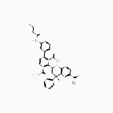 CCCC(=O)Nc1cccc(-c2ccc(C(N)=O)c(C3CC(C)(c4ccccc4)c4cc(C(=N)N)ccc4N3)c2C(=O)O)c1